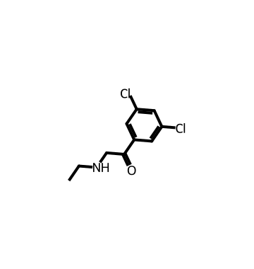 CCNCC(=O)c1cc(Cl)cc(Cl)c1